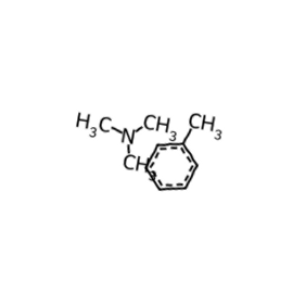 CN(C)C.Cc1ccccc1